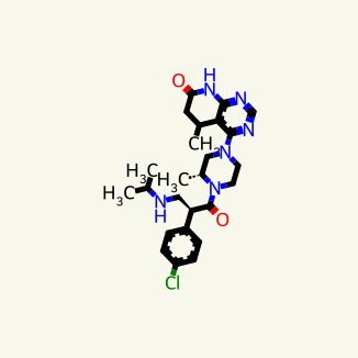 CC(C)NC[C@@H](C(=O)N1CCN(c2ncnc3c2C(C)CC(=O)N3)C[C@H]1C)c1ccc(Cl)cc1